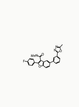 CNC(=O)c1c(-c2ccc(F)cc2)oc2ccc(-c3cccc(-c4nnc(C)o4)c3)cc12